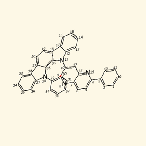 c1ccc(-c2ccc3ncc(-n4c5ccccc5c5ccc6c7ccccc7n(-c7ccccc7)c6c54)cc3n2)cc1